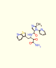 Cc1ncc(C(=O)NC(Cc2csc3ncccc23)C(=O)C(N)=O)n1-c1ccccn1